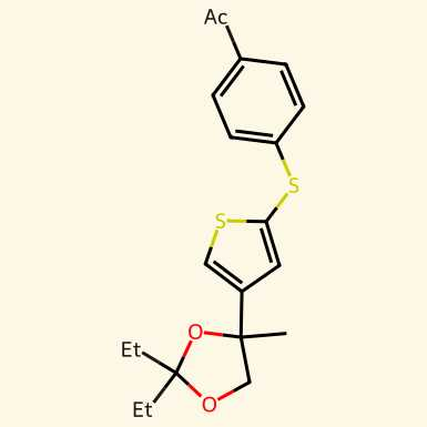 CCC1(CC)OCC(C)(c2csc(Sc3ccc(C(C)=O)cc3)c2)O1